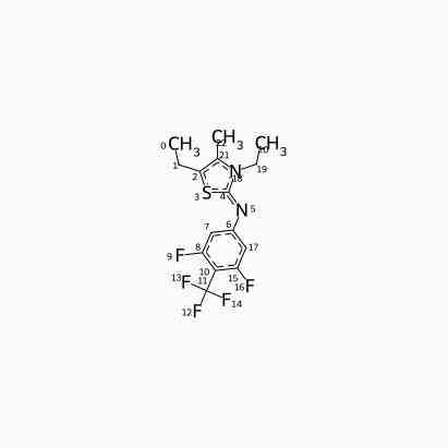 CCc1s/c(=N\c2cc(F)c(C(F)(F)F)c(F)c2)n(CC)c1C